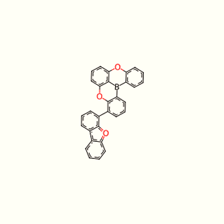 c1ccc2c(c1)Oc1cccc3c1B2c1cccc(-c2cccc4c2oc2ccccc24)c1O3